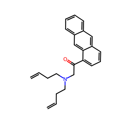 C=CCCN(CCC=C)CC(=O)c1cccc2cc3ccccc3cc12